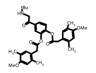 COc1cc(C)c(CC(=O)Oc2ccc(C(=O)CNC(C)(C)C)cc2OC(=O)Cc2cc(C)c(OC)cc2C)cc1C